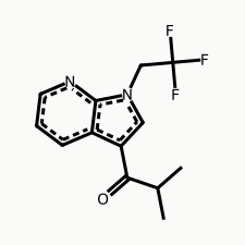 CC(C)C(=O)c1cn(CC(F)(F)F)c2ncccc12